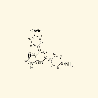 COc1ccc(-c2nc(N3CCC(N)CC3)nc3[nH]cnc23)cc1